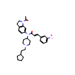 CC(=O)N1CCc2ccc(N(C(=O)C=Cc3cccc([N+](=O)[O-])c3)C3CCN(CCC4CCCC4)CC3)cc21